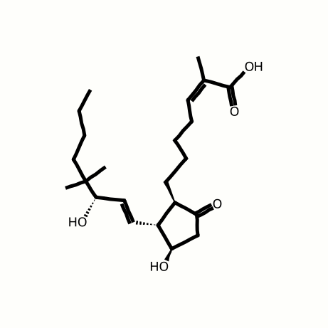 CCCCC(C)(C)[C@@H](O)C=C[C@H]1[C@H](O)CC(=O)[C@@H]1CCCCC=C(C)C(=O)O